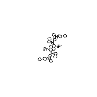 CC(C)c1cc(N(c2ccc3c(c2)c2ccccc2n3-c2ccc(-c3ccccc3)cc2)c2cccc3c2CCCC3)c2ccc3c(C(C)C)cc(N(c4ccc5c(c4)c4ccccc4n5-c4ccc(-c5ccccc5)cc4)c4cccc5c4CCCC5)c4ccc1c2c34